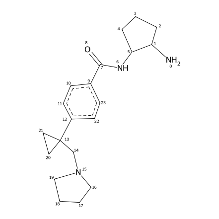 NC1CCCC1NC(=O)c1ccc(C2(CN3CCCC3)CC2)cc1